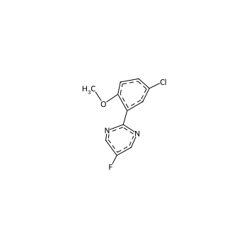 COc1ccc(Cl)cc1-c1ncc(F)cn1